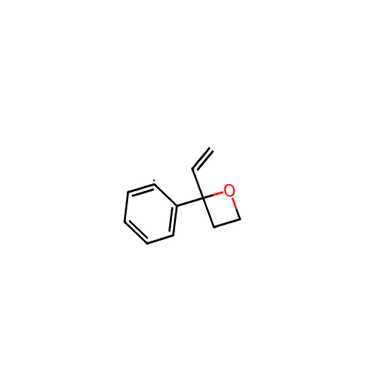 C=CC1(c2[c]cccc2)CCO1